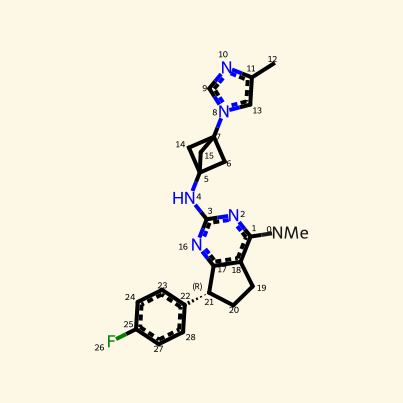 CNc1nc(NC23CC(n4cnc(C)c4)(C2)C3)nc2c1CC[C@@H]2c1ccc(F)cc1